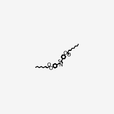 CCCCC/C=C/C(=O)Oc1ccc(-c2cnc(-c3ccc(OC(=O)/C=C/CCCCC)cc3)s2)cc1